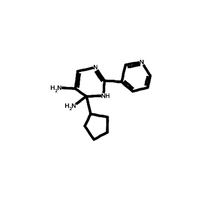 NC1=CN=C(c2cccnc2)NC1(N)C1CCCC1